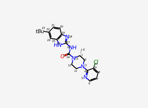 C[C@@H]1CN(c2ncccc2Cl)CCN1C(=O)Nc1nc2ccc(C(C)(C)C)cc2[nH]1